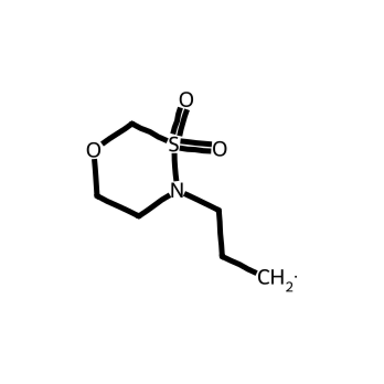 [CH2]CCN1CCOCS1(=O)=O